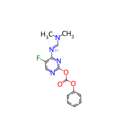 CN(C)/C=N/c1nc(OC(=O)Oc2ccccc2)ncc1F